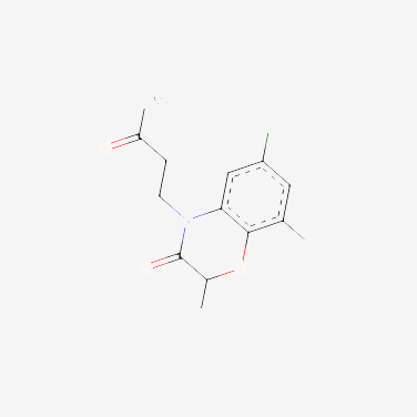 COC(=O)CCN1C(=O)C(C(C)C)Oc2c(Cl)cc(Cl)cc21